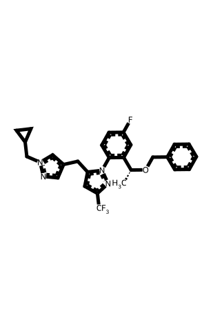 C[C@@H](OCc1ccccc1)c1cc(F)ccc1-n1nc(C(F)(F)F)cc1Cc1cnn(CC2CC2)c1